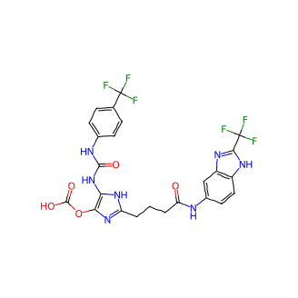 O=C(CCCc1nc(OC(=O)O)c(NC(=O)Nc2ccc(C(F)(F)F)cc2)[nH]1)Nc1ccc2[nH]c(C(F)(F)F)nc2c1